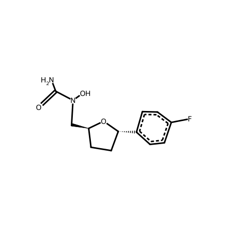 NC(=O)N(O)C[C@@H]1CC[C@@H](c2ccc(F)cc2)O1